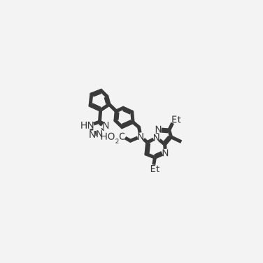 CCc1cc(N(CC(=O)O)Cc2ccc(-c3ccccc3-c3nnn[nH]3)cc2)n2nc(CC)c(C)c2n1